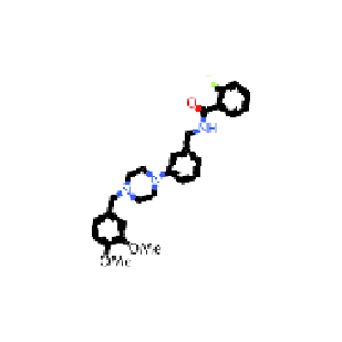 COc1ccc(CN2CCN(c3cccc(CNC(=O)c4ccccc4F)c3)CC2)cc1OC